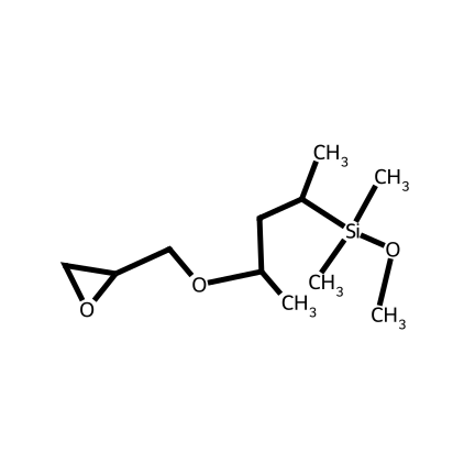 CO[Si](C)(C)C(C)CC(C)OCC1CO1